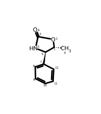 C[C@H]1OC(=O)N[C@@H]1c1ccccc1